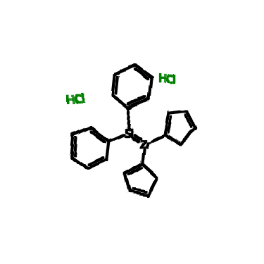 C1=CC[C]([Zr]([C]2=CC=CC2)=[Si](c2ccccc2)c2ccccc2)=C1.Cl.Cl